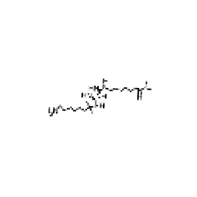 CC(C)NCCCCCCNC(=N)NC(=N)NC(C)(C)CCCCCCN